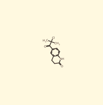 CC(C)(Cl)C(=O)c1ccc2c(c1)CCC(=O)N2